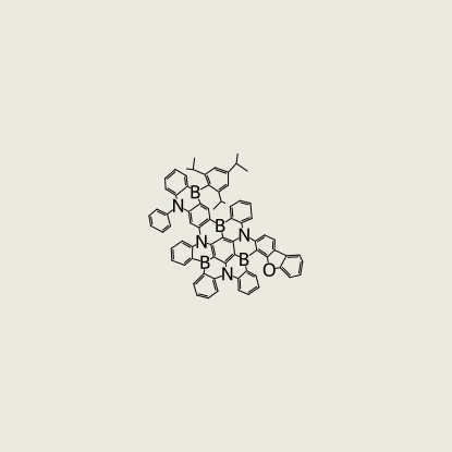 CC(C)c1cc(C(C)C)c(B2c3ccccc3N(c3ccccc3)c3cc4c(cc32)B2c3ccccc3N3c5ccc6c(oc7ccccc76)c5B5c6ccccc6N6c7ccccc7B7c8ccccc8N4c4c7c6c5c3c42)c(C(C)C)c1